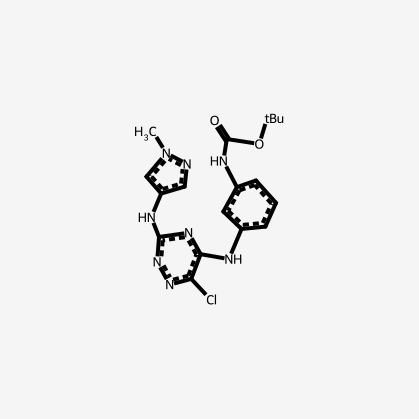 Cn1cc(Nc2nnc(Cl)c(Nc3cccc(NC(=O)OC(C)(C)C)c3)n2)cn1